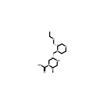 CCOC[C@@H]1COCCN1C[C@H]1CN(C(=O)O)[C@H](C)CN1